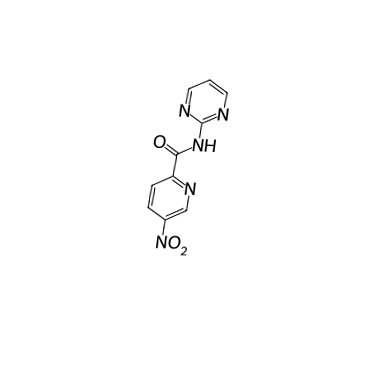 O=C(Nc1ncccn1)c1ccc([N+](=O)[O-])cn1